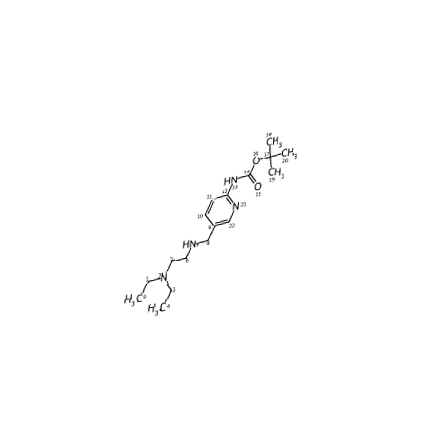 CCN(CC)CCNCc1ccc(NC(=O)OC(C)(C)C)nc1